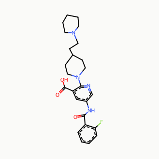 O=C(Nc1cnc(N2CCC(CCN3CCCCC3)CC2)c(C(=O)O)c1)c1ccccc1F